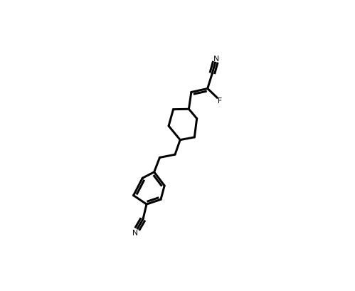 N#CC(F)=CC1CCC(CCc2ccc(C#N)cc2)CC1